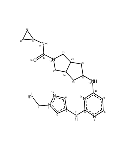 CC(C)Cn1cc(Nc2nccc(NC3CC4CN(C(=O)NC5CC5)CC4C3)n2)cn1